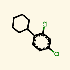 Clc1ccc([C]2CCCCC2)c(Cl)c1